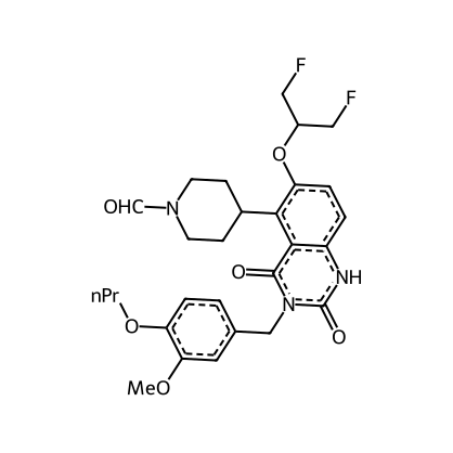 CCCOc1ccc(Cn2c(=O)[nH]c3ccc(OC(CF)CF)c(C4CCN(C=O)CC4)c3c2=O)cc1OC